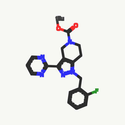 CC(C)(C)OC(=O)N1CCc2c(c(-c3ncccn3)nn2Cc2ccccc2F)C1